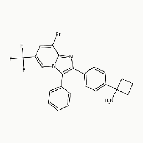 NC1(c2ccc(-c3nc4c(Br)cc(C(F)(F)F)cn4c3-c3ccccc3)cc2)CCC1